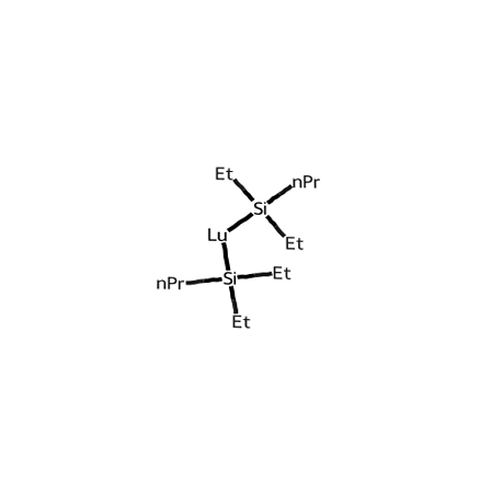 CCC[Si](CC)(CC)[Lu][Si](CC)(CC)CCC